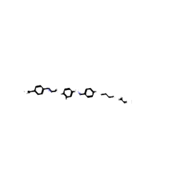 C=CC(=O)OCCCCOc1ccc(/C=N/c2ccc(OC(=O)/C=C/c3ccc(C#N)cc3)c(Cl)c2)cc1